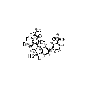 CCOP(=O)(OCC)C(F)(F)c1ccc(C(C)(S)c2ccc(-c3cccc(S(C)(=O)=O)c3)cc2)cc1Br